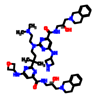 CN(C)CCN(CCC(C)(C)c1nc(NC2COC2)cc(C(=O)NC[C@H](O)CN2CCc3ccccc3C2)n1)c1nc(NC2CNC2)cc(C(=O)NC[C@H](O)CN2CCc3ccccc3C2)n1